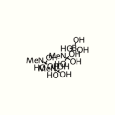 CNC(O)(O)O.CNC(O)(O)O.CNC(O)(O)O.OB(O)O